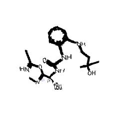 C/N=C(\OC(C)=N)[C@@H](NC(=O)Nc1ccccc1NCCC(C)(C)O)C(C)(C)C